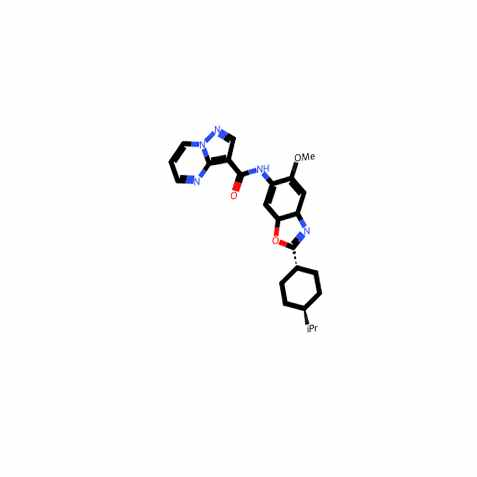 COC1=CC2N=C([C@H]3CC[C@H](C(C)C)CC3)OC2C=C1NC(=O)c1cnn2cccnc12